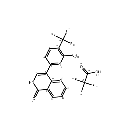 Cc1nc(-c2c[nH]c(=O)c3cccnc23)ccc1C(F)(F)F.O=C(O)C(F)(F)F